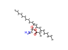 CCCCCCCCCCC(CCCCCCCCCC)OC(C)OC(=O)CC.N